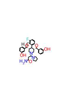 Cc1c(F)cccc1C1[C@@H](C(=O)c2cccc(O)c2)CN(C(CC(N)=O)N2CCCC2)C[C@H]1C(=O)c1cccc(O)c1